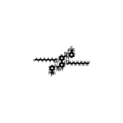 CCCCCCCCCCCCOc1ccc(C(=N)Nc2cccc(C(F)(F)F)c2)cc1-c1cc(C(=N)Nc2cccc(C(F)(F)F)c2)ccc1OCCCCCCCCCCCC